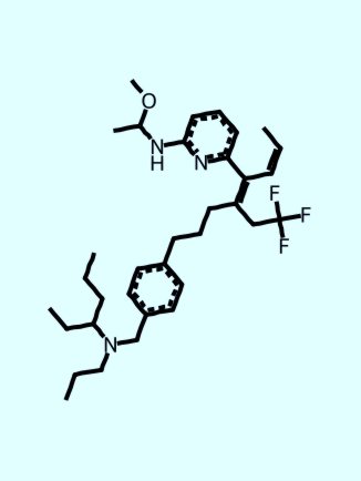 C/C=C\C(=C(\CCCc1ccc(CN(CCC)C(CC)CCC)cc1)CC(F)(F)F)c1cccc(NC(C)OC)n1